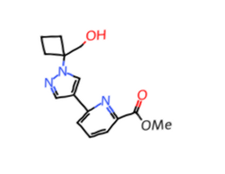 COC(=O)c1cccc(-c2cnn(C3(CO)CCC3)c2)n1